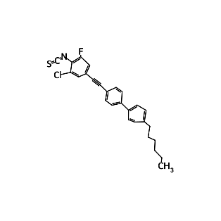 CCCCCCc1ccc(-c2ccc(C#Cc3cc(F)c(N=C=S)c(Cl)c3)cc2)cc1